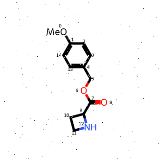 COc1ccc(COC(=O)C2CCN2)cc1